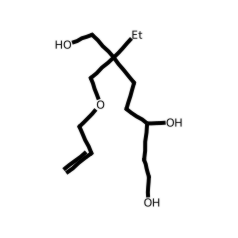 C=CCOCC(CC)(CO)CCC(O)CCO